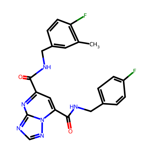 Cc1cc(CNC(=O)c2cc(C(=O)NCc3ccc(F)cc3)n3ncnc3n2)ccc1F